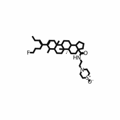 CC/C=C(\CCCF)C1=CCC2(C)C(CCC3(C)C2CCC2C4CCCC4(C(=O)NCCN4CC[S+]([O-])CC4)CC[C@]23C)C1C